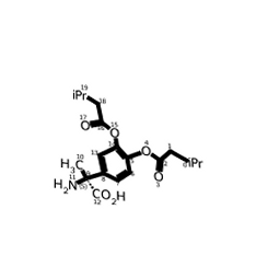 CC(C)CC(=O)Oc1ccc([C@](C)(N)C(=O)O)cc1OC(=O)CC(C)C